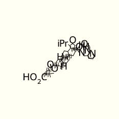 CC(C)C1=C2C3CC[C@@H]4[C@@]5(C)CC[C@H](OC(=O)[C@H]6C[C@@H](C(=O)O)C6(C)C)C(C)(C)[C@@H]5CC[C@@]4(C)[C@]3(C)CC[C@@]2([C@@H](O)CNCc2cccnc2N2CCOCC2)CC1=O